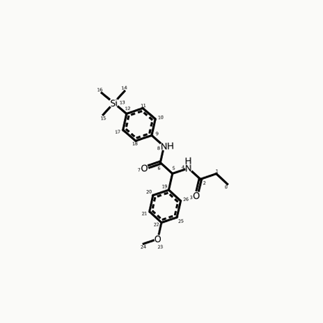 CCC(=O)NC(C(=O)Nc1ccc([Si](C)(C)C)cc1)c1ccc(OC)cc1